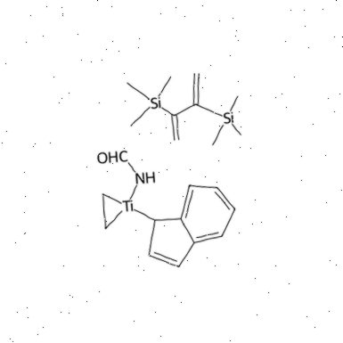 C=C(C(=C)[Si](C)(C)C)[Si](C)(C)C.O=C[NH][Ti]1([CH]2C=Cc3ccccc32)[CH2][CH2]1